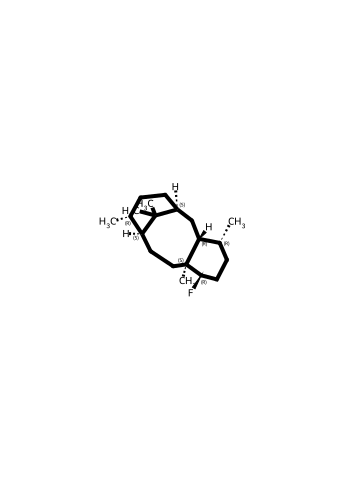 C[C@@H]1CC[C@@H](F)[C@@]2(C)CC[C@H]3[C@H](C)CC[C@@H](C[C@H]12)C3(C)C